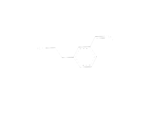 C=Cc1c[c]cc(CCC)c1